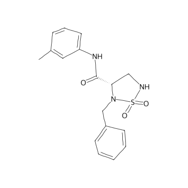 Cc1cccc(NC(=O)[C@@H]2CNS(=O)(=O)N2Cc2ccccc2)c1